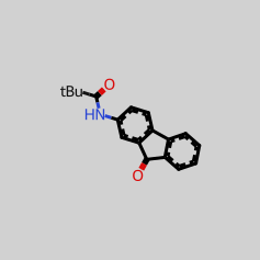 CC(C)(C)C(=O)Nc1ccc2c(c1)C(=O)c1ccccc1-2